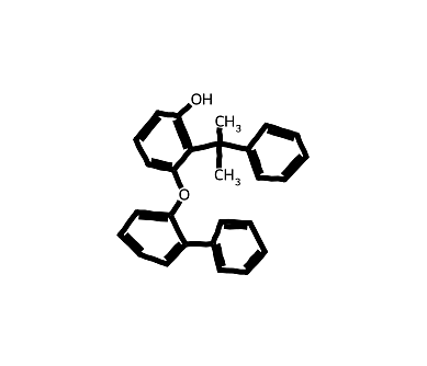 CC(C)(c1ccccc1)c1c(O)cccc1Oc1ccccc1-c1ccccc1